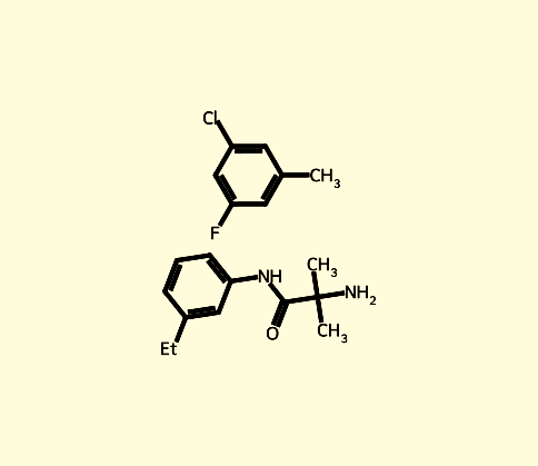 CCc1cccc(NC(=O)C(C)(C)N)c1.Cc1cc(F)cc(Cl)c1